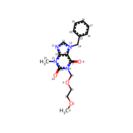 COCCOCn1c(=O)c2c(ncn2Cc2ccccc2)n(C)c1=O